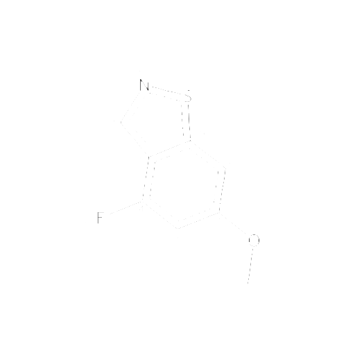 COc1cc(F)c2cnsc2c1